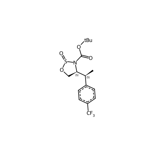 C[C@@H](c1ccc(C(F)(F)F)cc1)[C@H]1COS(=O)N1C(=O)OC(C)(C)C